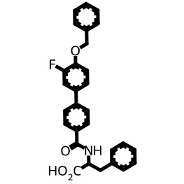 O=C(NC(Cc1ccccc1)C(=O)O)c1ccc(-c2ccc(OCc3ccccc3)c(F)c2)cc1